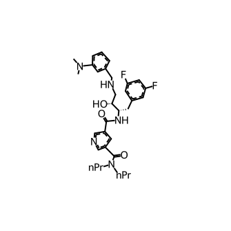 CCCN(CCC)C(=O)c1cncc(C(=O)N[C@@H](Cc2cc(F)cc(F)c2)[C@H](O)CNCc2cccc(N(C)C)c2)c1